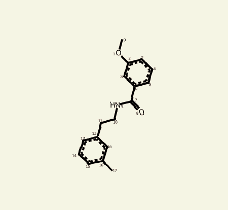 COc1cccc(C(=O)NCCc2cccc(C)c2)c1